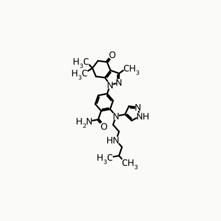 Cc1nn(-c2ccc(C(N)=O)c(N(CCNCC(C)C)c3cn[nH]c3)c2)c2c1C(=O)CC(C)(C)C2